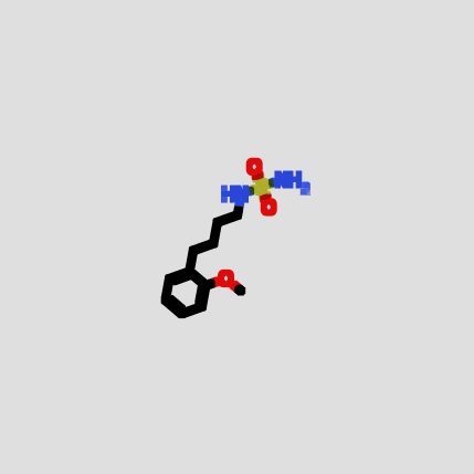 COc1ccccc1CCCCNS(N)(=O)=O